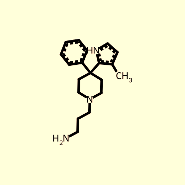 Cc1cc[nH]c1C1(c2ccccc2)CCN(CCCN)CC1